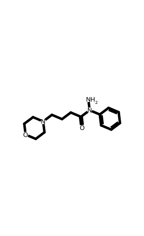 NN(C(=O)CCCN1CCOCC1)c1ccccc1